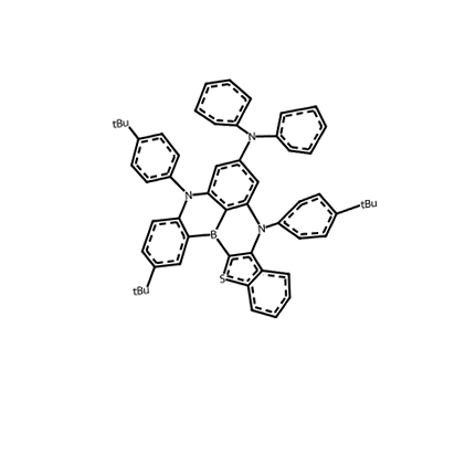 CC(C)(C)c1ccc(N2c3ccc(C(C)(C)C)cc3B3c4sc5ccccc5c4N(c4ccc(C(C)(C)C)cc4)c4cc(N(c5ccccc5)c5ccccc5)cc2c43)cc1